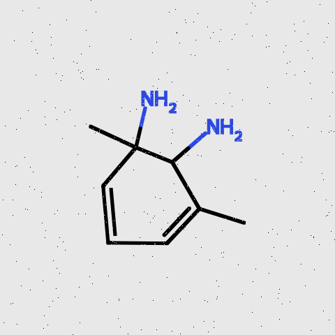 CC1=CC=CC(C)(N)C1N